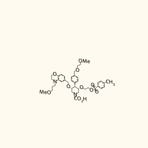 COCCCN1CCOc2ccc(CO[C@H]3CN(C(=O)O)C[C@@H](OCCOS(=O)(=O)c4ccc(C)cc4)[C@@H]3c3ccc(COCCOC)cc3)cc21